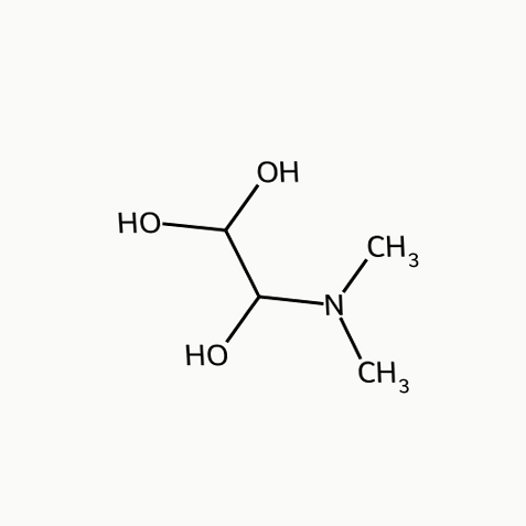 CN(C)C(O)C(O)O